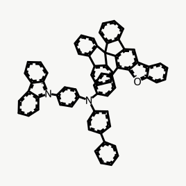 c1ccc(-c2ccc(N(c3ccc(-c4c5c(cc6c4oc4ccccc46)-c4ccccc4C54c5ccccc5-c5ccccc54)cc3)c3ccc(-n4c5ccccc5c5ccccc54)cc3)cc2)cc1